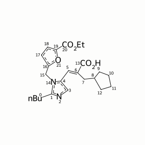 CCCCc1ncc(C=C(CC2CCCC2)C(=O)O)n1Cc1ccc(C(=O)OCC)o1